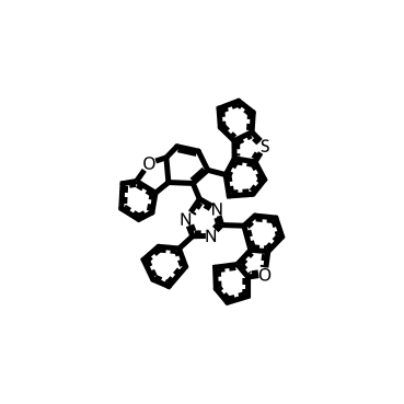 C1=CC2Oc3ccccc3C2C(c2nc(-c3ccccc3)nc(-c3cccc4oc5ccccc5c34)n2)=C1c1cccc2sc3ccccc3c12